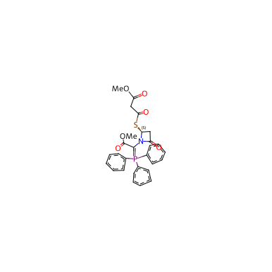 COC(=O)CC(=O)S[C@H]1CC(=O)N1C(C(=O)OC)=P(c1ccccc1)(c1ccccc1)c1ccccc1